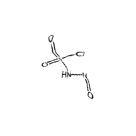 O=NNS(=O)(=O)Cl